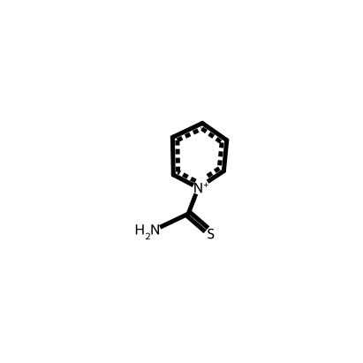 NC(=S)[n+]1ccccc1